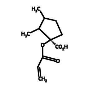 C=CC(=O)O[C@]1(C(=O)O)CCC(C)C1C